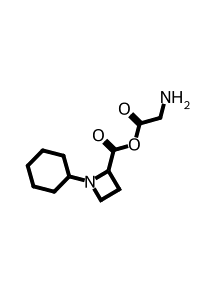 NCC(=O)OC(=O)C1CCN1C1CCCCC1